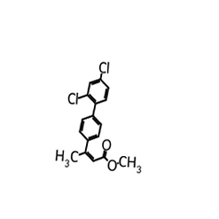 COC(=O)/C=C(/C)c1ccc(-c2ccc(Cl)cc2Cl)cc1